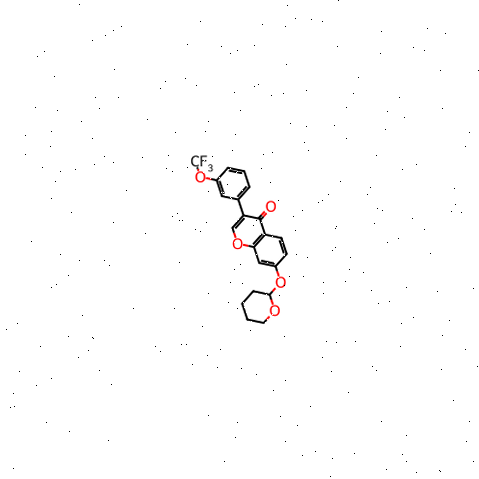 O=c1c(-c2cccc(OC(F)(F)F)c2)coc2cc(OC3CCCCO3)ccc12